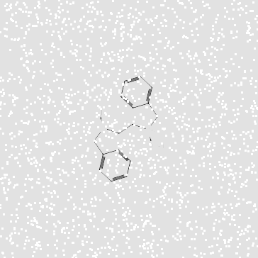 CC(C)(C)[P@]1Cc2ccccc2[C@H]1[C@@H]1c2ccccc2C[P@@]1C(C)(C)C